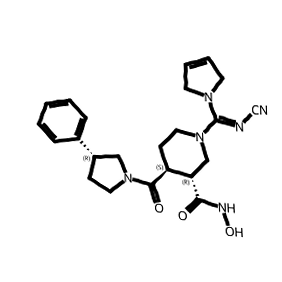 N#CN=C(N1CC=CC1)N1CC[C@H](C(=O)N2CC[C@H](c3ccccc3)C2)[C@@H](C(=O)NO)C1